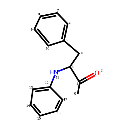 CC(=O)C(Cc1ccccc1)Nc1ccccc1